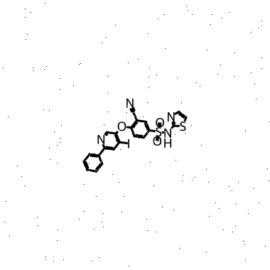 N#Cc1cc(S(=O)(=O)Nc2nccs2)ccc1Oc1cnc(-c2ccccc2)cc1I